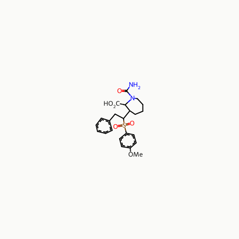 COc1ccc(S(=O)(=O)C(Cc2ccccc2)C2CCCCN(C(N)=O)C2C(=O)O)cc1